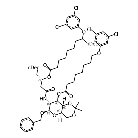 CCCCCCCCCCC[C@@H](CC(=O)N[C@H]1[C@H](OCc2ccccc2)O[C@@H]2COC(C)(C)O[C@H]2[C@@H]1OC(=O)CCCCCCCOc1cc(Cl)cc(Cl)c1)OC(=O)CCCCCCC(CCCCCCCCCC)Oc1cc(Cl)cc(Cl)c1